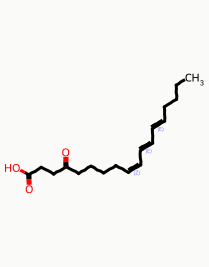 CCCC/C=C/C=C/C=C\CCCCC(=O)CCC(=O)O